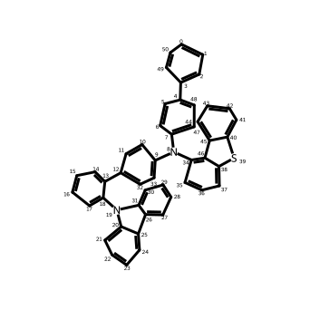 c1ccc(-c2ccc(N(c3ccc(-c4ccccc4-n4c5ccccc5c5ccccc54)cc3)c3cccc4sc5ccccc5c34)cc2)cc1